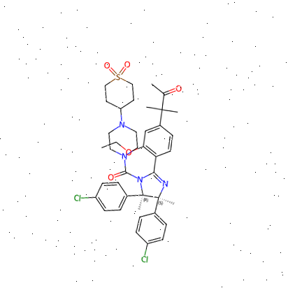 CCOc1cc(C(C)(C)C(C)=O)ccc1C1=N[C@@](C)(c2ccc(Cl)cc2)[C@@](C)(c2ccc(Cl)cc2)N1C(=O)N1CCN(C2CCS(=O)(=O)CC2)CC1